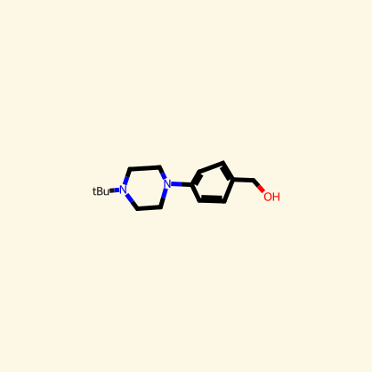 CC(C)(C)N1CCN(c2ccc(CO)cc2)CC1